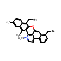 Cc1ccc2c(CC(C)(C)C)c3c(c(C)c2c1)-c1c2c(cc4c(CC(C)(C)C)cccc4c2cc[n+]1C)O3